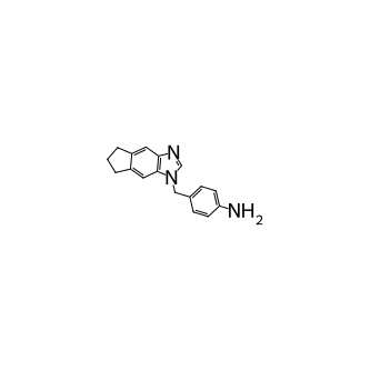 Nc1ccc(Cn2cnc3cc4c(cc32)CCC4)cc1